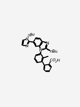 CCCCc1nc2ccc(-c3nccn3CCCC)cc2n1-c1cccc(-c2ccccc2C(=O)O)c1C